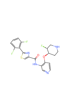 O=C(Nc1cnccc1O[C@@H]1CCNC[C@@H]1F)c1csc(-c2c(F)cccc2F)n1